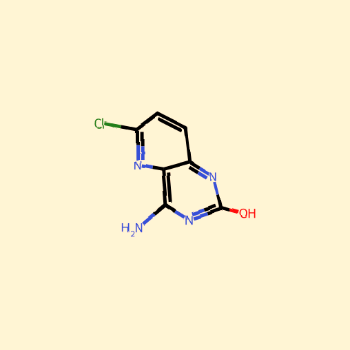 Nc1nc(O)nc2ccc(Cl)nc12